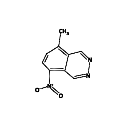 Cc1ccc([N+](=O)[O-])c2cnncc12